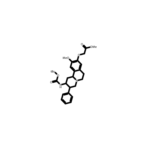 COC(=O)COc1cc2c(cc1OC)C1CC(NC(=O)OC(C)(C)C)C(c3ccccc3)CN1CC2